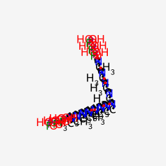 CCN1CCCC1.CCN1CCCC1.CCN1CCCC1.CCN1CCCC1.CCN1CCCC1.CCN1CCCC1.CCN1CCCC1.CCN1CCCC1.CCN1CCCC1.CCN1CCCC1.CCN1CCCC1.CCN1CCCC1.O=P(O)(O)F.O=P(O)(O)F.O=P(O)(O)F.O=P(O)(O)F.O=P(O)(O)F.O=P(O)(O)F